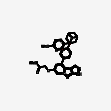 COC(=O)COc1cc(-c2ccc(N3CC4CC(C3)N4Cc3ccc(OC)nc3)nc2)c2c3cn[nH]c3nn2c1